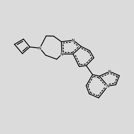 C1=CC(N2CCc3nc4ccc(-c5cccn6ccnc56)cc4n3CC2)=C1